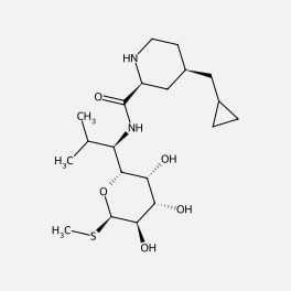 CS[C@H]1O[C@H]([C@H](NC(=O)[C@@H]2C[C@H](CC3CC3)CCN2)C(C)C)[C@H](O)[C@H](O)[C@H]1O